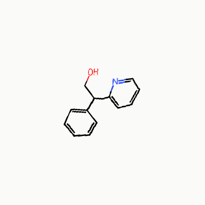 OCC(c1ccccc1)c1ccccn1